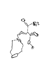 CCC(=O)C(=CN1CCOCC1)C(=O)OF